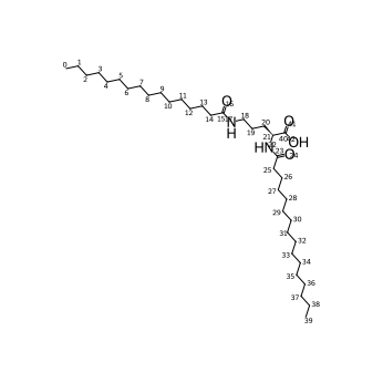 CCCCCCCCCCCCCCCC(=O)NCCC[C@H](NC(=O)CCCCCCCCCCCCCCC)C(=O)O